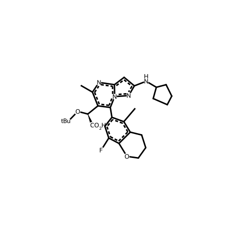 Cc1nc2cc(NC3CCCC3)nn2c(-c2cc(F)c3c(c2C)CCCO3)c1[C@H](OC(C)(C)C)C(=O)O